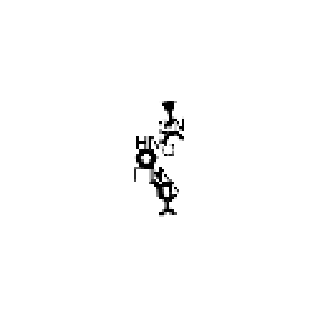 Cc1nc(C2CC2)oc1C(=O)Nc1ccc(F)c(-n2cc3cc(C(C)C)cnc3n2)c1